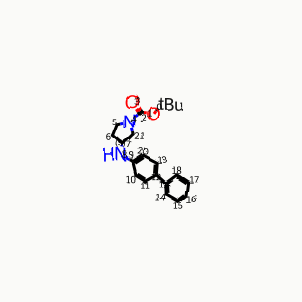 CC(C)(C)OC(=O)N1CC[C@H](Nc2ccc(-c3ccccc3)cc2)C1